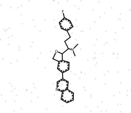 CN(C)C(CCc1ccc(F)cc1)C1OCc2cc(-c3cnc4ccccc4c3)ccc21